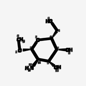 CO[C@@H]1O[C@H](CO)[C@H](O)[C@H](O)[C@H]1N